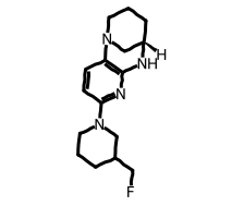 FCC1CCCN(c2ccc3c(n2)N[C@H]2CCCN3C2)C1